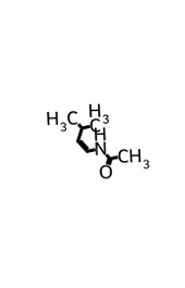 CC(=O)N/C=C\C(C)C